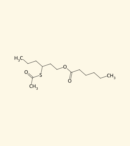 CCCCCC(=O)OCCC(CCC)SC(C)=O